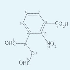 O=COC(C=O)c1cccc(C(=O)O)c1[N+](=O)[O-]